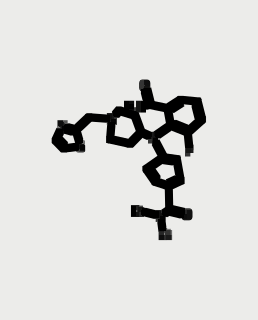 CCN(CC)C(=O)c1ccc(N(c2c(F)cccc2C(N)=O)C2CCN(Cc3nccs3)CC2)cc1